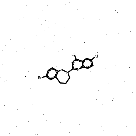 Clc1ccc2nc(N3CCCc4cc(Br)ccc4C3)cc(Cl)c2c1